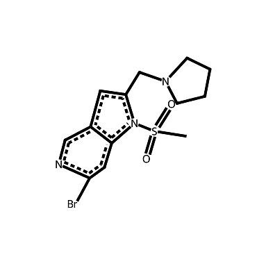 CS(=O)(=O)n1c(CN2CCCC2)cc2cnc(Br)cc21